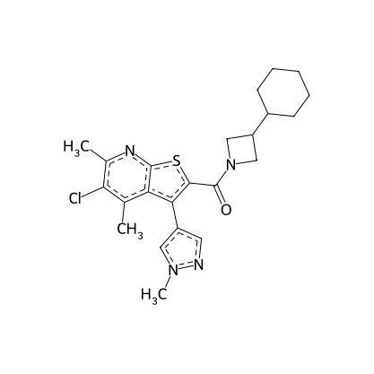 Cc1nc2sc(C(=O)N3CC(C4CCCCC4)C3)c(-c3cnn(C)c3)c2c(C)c1Cl